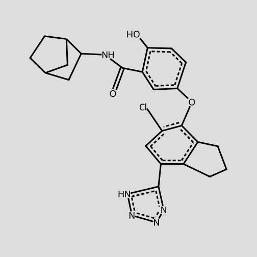 O=C(NC1CC2CCC1C2)c1cc(Oc2c(Cl)cc(-c3nnn[nH]3)c3c2CCC3)ccc1O